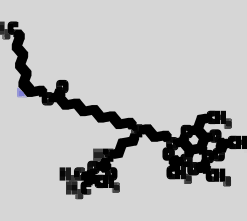 CCCCCC/C=C\COC(=O)CCCCCCCCN(CCCNC(=O)OC(C)(C)C)CCCOC1OC(CC)C(OC(C)=O)C(OC(C)=O)C1OC(C)=O